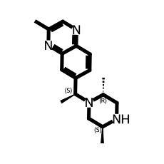 Cc1cnc2ccc([C@H](C)N3C[C@H](C)NC[C@H]3C)cc2n1